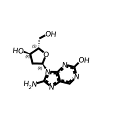 Nc1nc2cnc(O)nc2n1[C@H]1C[C@@H](O)[C@H](CO)O1